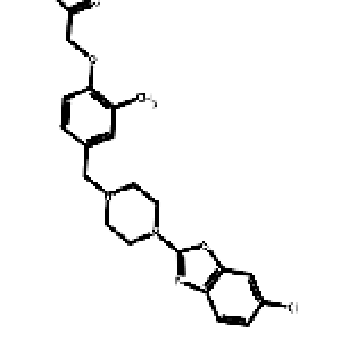 Cc1cc(CN2CCN(c3nc4ccc(Cl)cc4s3)CC2)ccc1OCC(=O)O